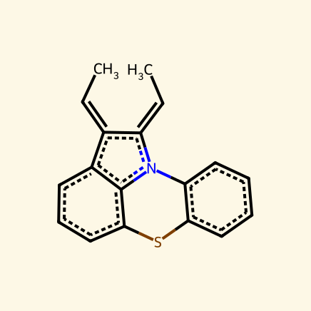 C/C=c1\c(=C/C)n2c3c(cccc13)Sc1ccccc1-2